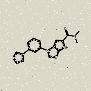 CN(C)C(=O)c1cc2c(ncn2-c2cccc(-c3ccsc3)c2)[nH]1